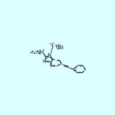 CC(=O)Nc1nc2ccc(C#Cc3ccccc3)cc2n1[C@H](C)C(C)(C)C